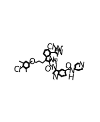 Cc1cc(OCCCc2c3n(c4c(-c5c(C)nn(C)c5C)c(Cl)ccc24)[C@H](C)CN(c2cn(C)c4ccc(C(=O)Nc5ccncc5)cc24)C3=O)cc(C)c1Cl